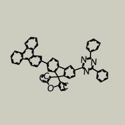 c1ccc(-c2nc(-c3ccccc3)nc(-c3ccc4c(c3)-c3ccc(-c5ccc6c7ccccc7c7ccccc7c6c5)cc3C43c4ccccc4Oc4ccccc43)n2)cc1